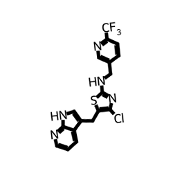 FC(F)(F)c1ccc(CNc2nc(Cl)c(Cc3c[nH]c4ncccc34)s2)cn1